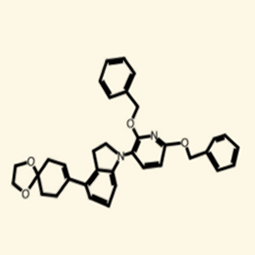 C1=C(c2cccc3c2CCN3c2ccc(OCc3ccccc3)nc2OCc2ccccc2)CCC2(C1)OCCO2